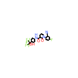 N#Cc1cc(F)ccc1-n1cccc(C(=O)Nc2ccc(C(O)(C(F)(F)F)C(F)(F)F)cc2)c1=O